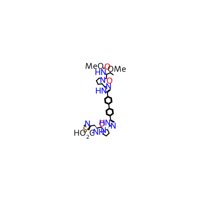 COC(=O)N[C@H](C(=O)N1CCCC1c1ncc(-c2ccc(-c3ccc(-c4cnc([C@@H]5CCCN5C(=O)[C@H](Cc5cscn5)NC(=O)O)[nH]4)cc3)cc2)[nH]1)[C@@H](C)OC